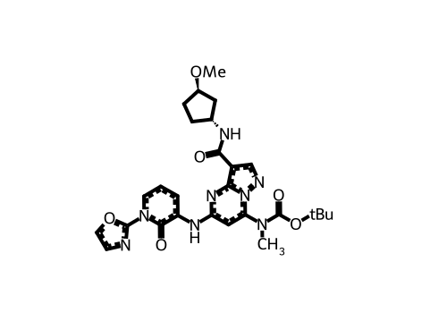 CO[C@@H]1CC[C@@H](NC(=O)c2cnn3c(N(C)C(=O)OC(C)(C)C)cc(Nc4cccn(-c5ncco5)c4=O)nc23)C1